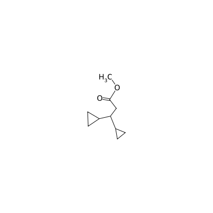 COC(=O)CC(C1CC1)C1CC1